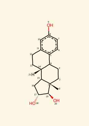 C[C@]12CCC3c4ccc(O)cc4CC[C@H]3C1C[C@@H](O)[C@@H]2O